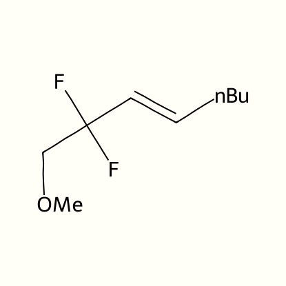 CCCC/C=C/C(F)(F)COC